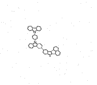 C1=CC(c2ccc3sc4c(c3c2)-c2cccc3cccc-4c23)Cc2c1n(-c1ccc(-n3c4ccccc4c4ccccc43)cc1)c1ccccc21